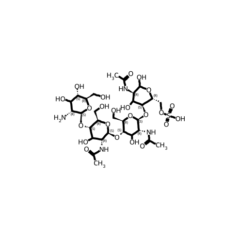 CC(=O)N[C@H]1C(O)O[C@H](COS(=O)(=O)O)[C@@H](O[C@@H]2O[C@H](CO)[C@@H](O[C@@H]3O[C@H](CO)[C@@H](O[C@@H]4O[C@H](CO)[C@@H](O)C(O)[C@H]4N)C(O)[C@H]3NC(C)=O)C(O)[C@H]2NC(C)=O)C1O